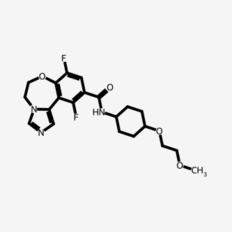 COCCOC1CCC(NC(=O)c2cc(F)c3c(c2F)-c2cncn2CCO3)CC1